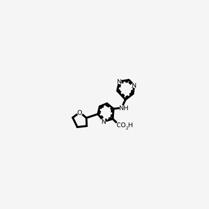 O=C(O)c1nc(C2CCCO2)ccc1Nc1cncnc1